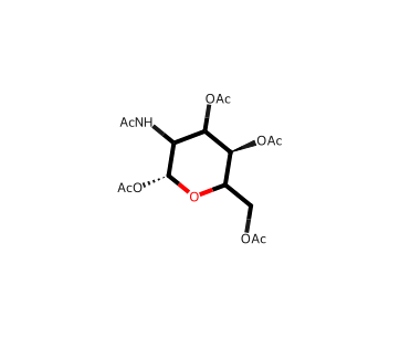 CC(=O)NC1C(OC(C)=O)[C@@H](OC(C)=O)C(COC(C)=O)O[C@@H]1OC(C)=O